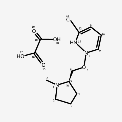 CN1CCC[C@@H]1CON1C=CC=C(Cl)N1.O=C(O)C(=O)O